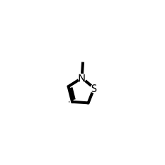 CN1C=[C]CS1